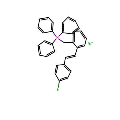 Fc1ccc(/C=C/c2ccccc2C[P+](c2ccccc2)(c2ccccc2)c2ccccc2)cc1.[Br-]